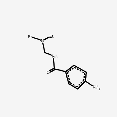 CCN(CC)CNC(=O)c1ccc(N)cc1